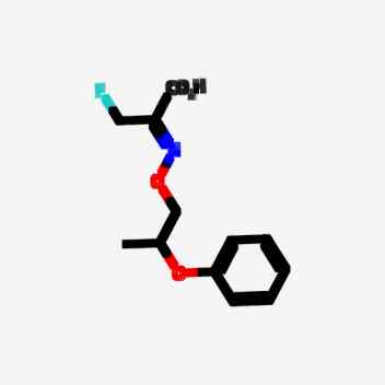 CC(CON=C(CF)C(=O)O)Oc1ccccc1